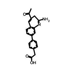 CC(=O)C1=Cc2ccc(-c3ccc(CC(=O)O)cc3)cc2N=C(N)C1